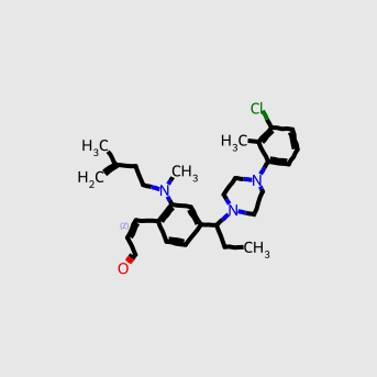 C=C(C)CCN(C)c1cc(C(CC)N2CCN(c3cccc(Cl)c3C)CC2)ccc1/C=C\C=O